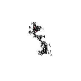 CC[C@H]1[C@@H](O)[C@@H]2[C@H](CC[C@]3(C)[C@@H]([C@H](C)CCC(=O)NCCCN(CCO)CCCNC(=O)CC[C@@H](C)[C@H]4CC[C@H]5[C@@H]6[C@H](O)[C@H](CC)[C@@H]7C[C@H](O)CC[C@]7(C)[C@H]6CC[C@]45C)CC[C@@H]23)[C@@]2(C)CC[C@@H](O)C[C@@H]12